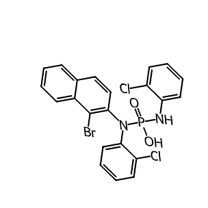 O=P(O)(Nc1ccccc1Cl)N(c1ccccc1Cl)c1ccc2ccccc2c1Br